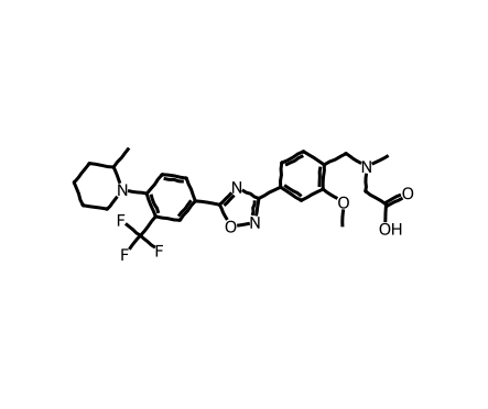 COc1cc(-c2noc(-c3ccc(N4CCCCC4C)c(C(F)(F)F)c3)n2)ccc1CN(C)CC(=O)O